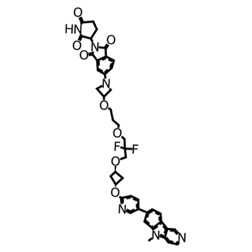 Cn1c2ccncc2c2ccc(-c3ccc(O[C@H]4C[C@H](OCC(F)(F)COCCCOC5CN(c6ccc7c(c6)C(=O)N(C6CCC(=O)NC6=O)C7=O)C5)C4)nc3)cc21